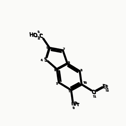 CCCc1cc2sc(C(=O)O)cc2cc1OCC